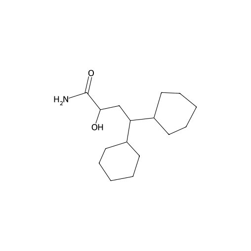 NC(=O)C(O)CC(C1CCCCC1)C1CCCCC1